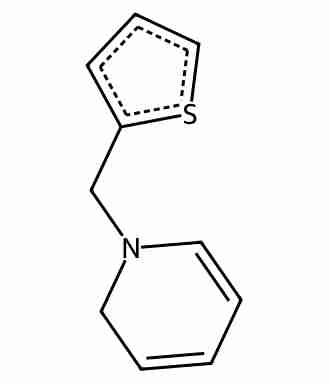 C1=CCN(Cc2cccs2)C=C1